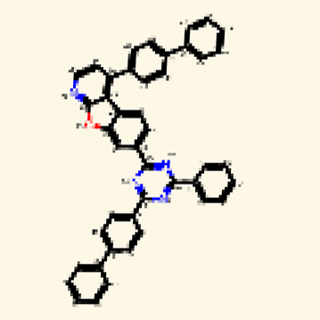 c1ccc(-c2ccc(-c3nc(-c4ccccc4)nc(-c4ccc5c(c4)oc4nccc(-c6ccc(-c7ccccc7)cc6)c45)n3)cc2)cc1